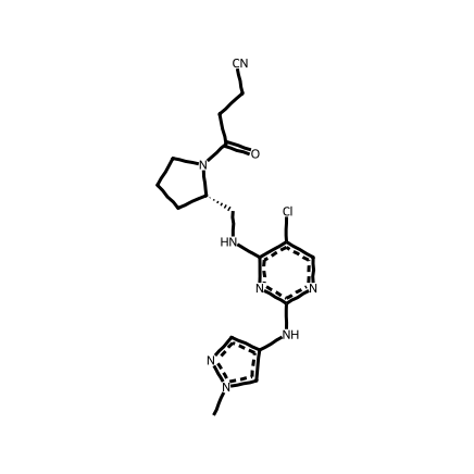 Cn1cc(Nc2ncc(Cl)c(NC[C@@H]3CCCN3C(=O)CCC#N)n2)cn1